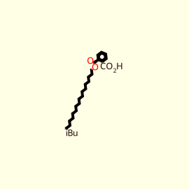 CCC(C)CCCCCCCCCCCCCCCCCOC(=O)c1ccccc1C(=O)O